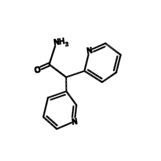 NC(=O)C(c1cccnc1)c1ccccn1